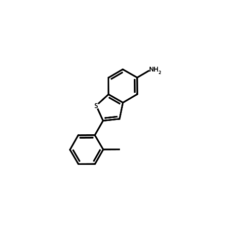 Cc1ccccc1-c1cc2cc(N)ccc2s1